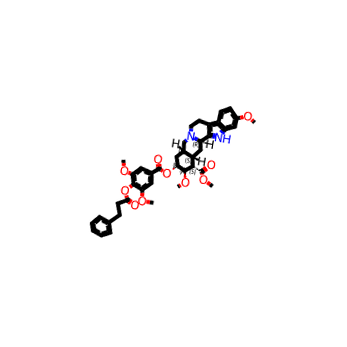 COC(=O)[C@H]1[C@H]2C[C@@H]3c4[nH]c5cc(OC)ccc5c4CCN3C[C@H]2C[C@@H](OC(=O)c2cc(OC)c(OC(=O)CCc3ccccc3)c(OC)c2)[C@@H]1OC